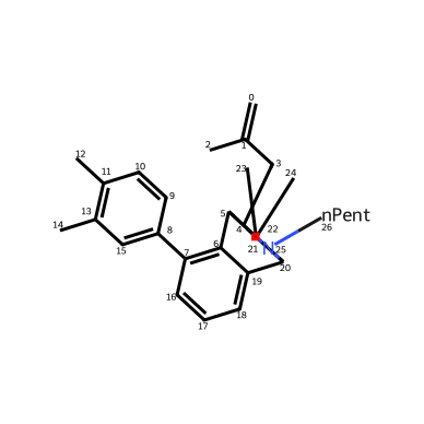 C=C(C)CC1C2c3c(-c4ccc(C)c(C)c4)cccc3C(CC2(C)C)N1CCCCC